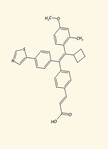 COc1ccc(C(=C(c2ccc(C=CC(=O)O)cc2)c2ccc(-c3cncs3)cc2)C2CCC2)c(C)c1